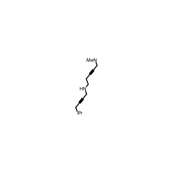 CNCC#CCCNCC#CCC(C)C